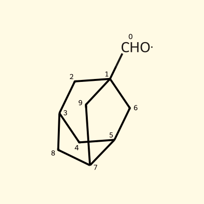 O=[C]C12CC3CC(C1)C(C3)C2